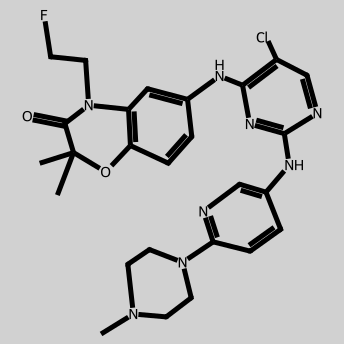 CN1CCN(c2ccc(Nc3ncc(Cl)c(Nc4ccc5c(c4)N(CCF)C(=O)C(C)(C)O5)n3)cn2)CC1